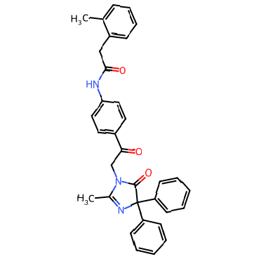 CC1=NC(c2ccccc2)(c2ccccc2)C(=O)N1CC(=O)c1ccc(NC(=O)Cc2ccccc2C)cc1